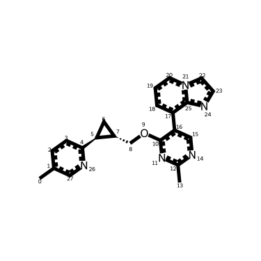 Cc1ccc([C@H]2C[C@@H]2COc2nc(C)ncc2-c2cccn3ccnc23)nc1